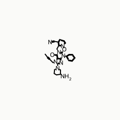 CC#CCn1c(N2CCCC(N)C2)nc2c1c(=O)n(Cc1ncccc1C#N)c(=O)n2-c1ccccc1